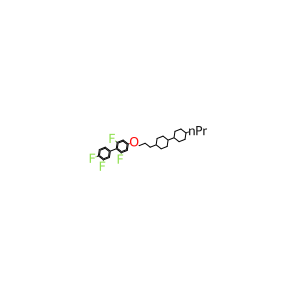 CCCC1CCC(C2CCC(CCCOc3cc(F)c(-c4ccc(F)c(F)c4)c(F)c3)CC2)CC1